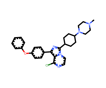 CN1CCN(C2CCC(c3nc(-c4ccc(Oc5ccccc5)cc4)c4c(Cl)nccn34)CC2)CC1